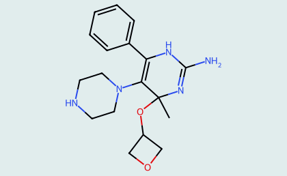 CC1(OC2COC2)N=C(N)NC(c2ccccc2)=C1N1CCNCC1